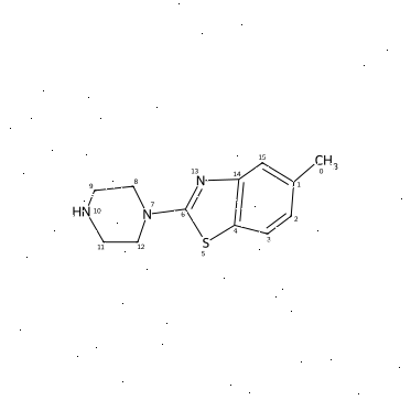 Cc1ccc2sc(N3CCNCC3)nc2c1